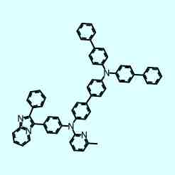 Cc1cccc(N(c2ccc(-c3ccc(N(c4ccc(-c5ccccc5)cc4)c4ccc(-c5ccccc5)cc4)cc3)cc2)c2ccc(-c3c(-c4ccccc4)nc4ccccn34)cc2)n1